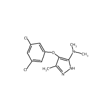 Cc1n[nH]c(N(C)C)c1Oc1cc(Cl)cc(Cl)c1